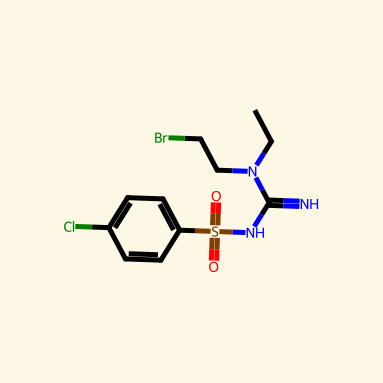 CCN(CCBr)C(=N)NS(=O)(=O)c1ccc(Cl)cc1